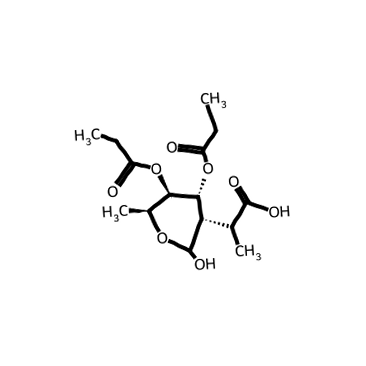 CCC(=O)O[C@@H]1[C@H](C(C)C(=O)O)C(O)O[C@@H](C)[C@H]1OC(=O)CC